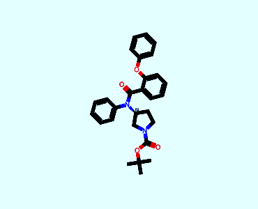 CC(C)(C)OC(=O)N1CC[C@H](N(C(=O)c2ccccc2Oc2ccccc2)c2ccccc2)C1